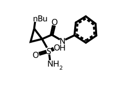 CCCCC1CC1(C(=O)Nc1ccccc1)S(N)(=O)=O